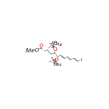 COC(=O)CCCC(O[Si](C)(C)C(C)(C)C)C(/C=C/C=C/C=C/I)O[Si](C)(C)C(C)(C)C